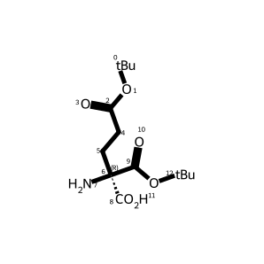 CC(C)(C)OC(=O)CC[C@@](N)(C(=O)O)C(=O)OC(C)(C)C